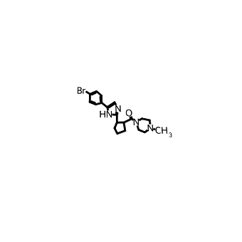 CN1CCN(C(=O)C2CCCC2c2ncc(-c3ccc(Br)cc3)[nH]2)CC1